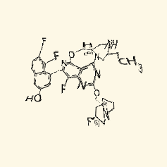 CCC1CN2c3nc(OC[C@]45CCCN4C[C@@H](F)C5)nc4c(F)c(-c5cc(O)cc6ccc(F)c(F)c56)nc(c34)OC[C@H]2CN1